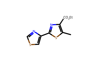 CCOC(=O)c1nc(-c2cscn2)sc1C